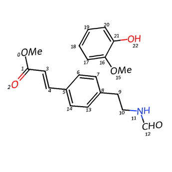 COC(=O)/C=C/c1ccc(CCNC=O)cc1.COc1ccccc1O